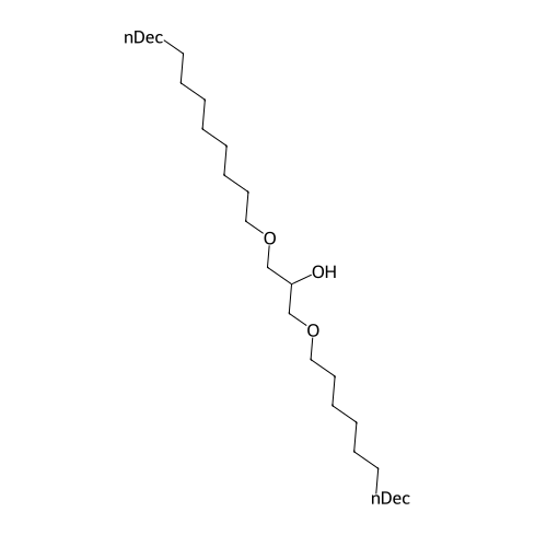 CCCCCCCCCCCCCCCCCCOCC(O)COCCCCCCCCCCCCCCCC